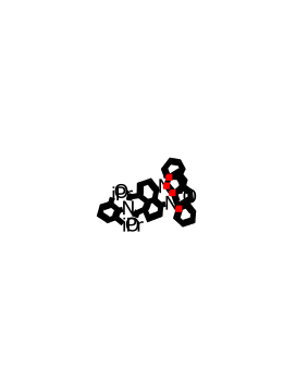 CC(C)c1cccc(C(C)C)c1N1C(=O)c2ccc(N3c4ccccc4Oc4ccccc43)c3c(-n4c5ccccc5c5ccccc54)ccc(c23)C1=O